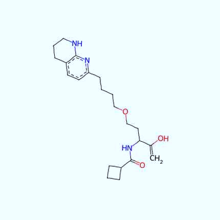 C=C(O)C(CCOCCCCc1ccc2c(n1)NCCC2)NC(=O)C1CCC1